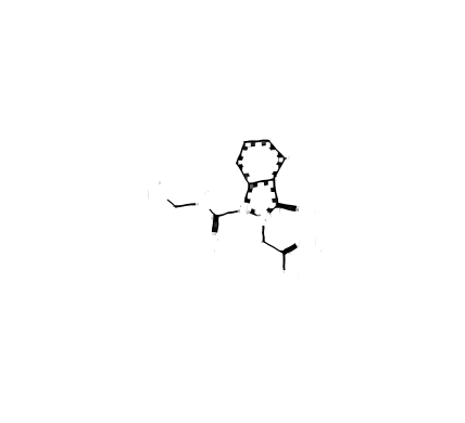 C=C(C)Cn1c(=O)c2ccccc2n1C(=O)OCC